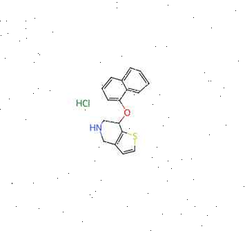 Cl.c1ccc2c(OC3CNCc4ccsc43)cccc2c1